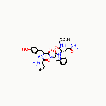 CC(C)C[C@H](N)C(=O)N[C@@H](Cc1ccc(O)cc1)C(=O)N[C@@H](Cc1ccccc1)C(=O)N[C@@H](CCC(N)=O)C(=O)NCC(=O)O